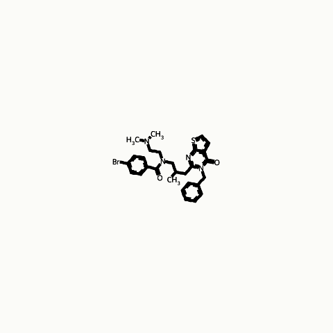 CC(Cc1nc2sccc2c(=O)n1Cc1ccccc1)CN(CCN(C)C)C(=O)c1ccc(Br)cc1